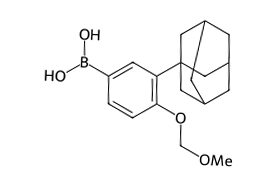 COCOc1ccc(B(O)O)cc1C12CC3CC(CC(C3)C1)C2